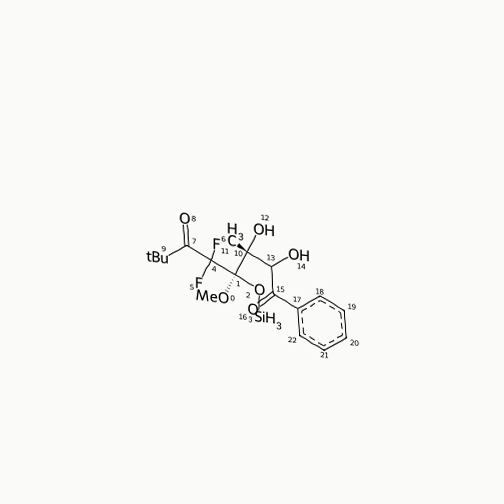 CO[C@](O[SiH3])(C(F)(F)C(=O)C(C)(C)C)[C@](C)(O)C(O)C(=O)c1ccccc1